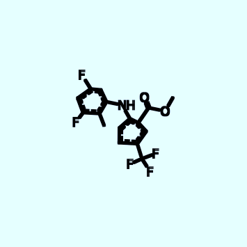 COC(=O)c1cc(C(F)(F)F)ccc1Nc1cc(F)cc(F)c1C